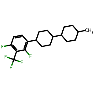 CC1CCC(C2CCC(c3ccc(F)c(C(F)(F)F)c3F)CC2)CC1